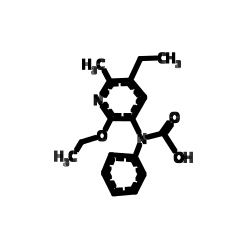 CCOc1nc(C)c(CC)cc1N(C(=O)O)c1ccccc1